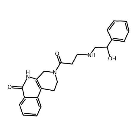 O=C(CCNCC(O)c1ccccc1)N1CCc2c([nH]c(=O)c3ccccc23)C1